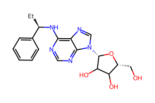 CC[C@@H](Nc1ncnc2c1ncn2[C@@H]1O[C@H](CO)C(O)C1O)c1ccccc1